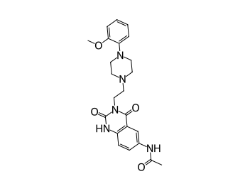 COc1ccccc1N1CCN(CCn2c(=O)[nH]c3ccc(NC(C)=O)cc3c2=O)CC1